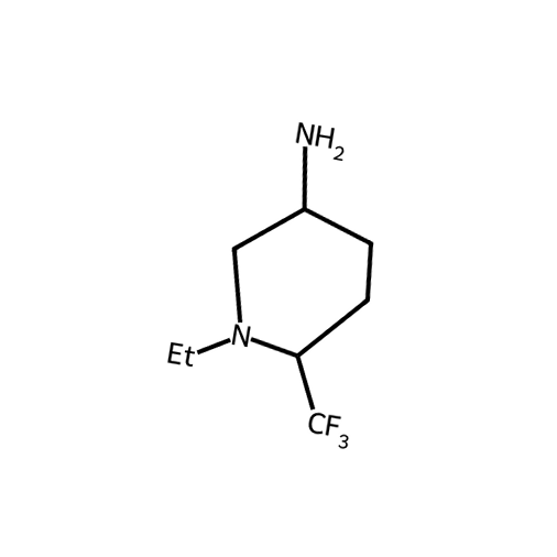 CCN1CC(N)CCC1C(F)(F)F